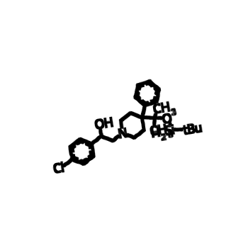 CC(C)(C)[SiH2]OC(C)(C)C1(c2ccccc2)CCN(CC(O)c2ccc(Cl)cc2)CC1